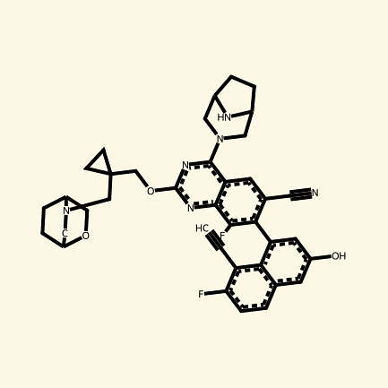 C#Cc1c(F)ccc2cc(O)cc(-c3c(C#N)cc4c(N5CC6CCC(C5)N6)nc(OCC5(CN6CC7CCC6CO7)CC5)nc4c3F)c12